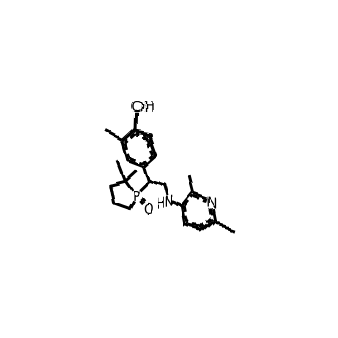 Cc1ccc(NCC(c2ccc(O)c(C)c2)P2(=O)CCCC2(C)C)c(C)n1